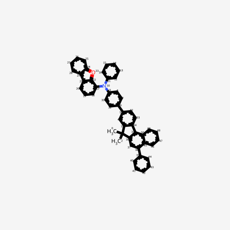 CC1(C)c2cc(-c3ccc(N(c4ccccc4)c4cccc5c4oc4ccccc45)cc3)ccc2-c2c1cc(-c1ccccc1)c1ccccc21